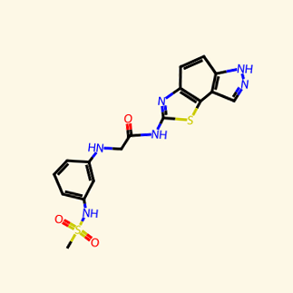 CS(=O)(=O)Nc1cccc(NCC(=O)Nc2nc3ccc4[nH]ncc4c3s2)c1